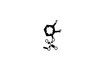 COS(=O)(=O)Oc1cccc(F)c1F